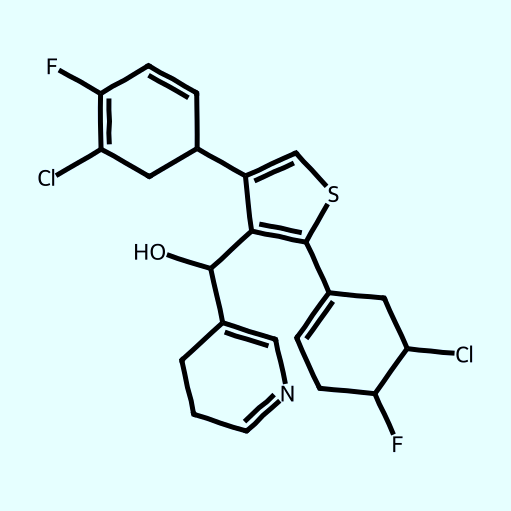 OC(C1=CN=CCC1)c1c(C2C=CC(F)=C(Cl)C2)csc1C1=CCC(F)C(Cl)C1